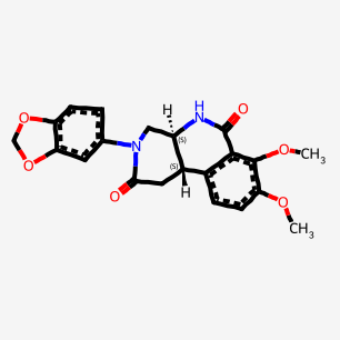 COc1ccc2c(c1OC)C(=O)N[C@@H]1CN(c3ccc4c(c3)OCO4)C(=O)C[C@@H]21